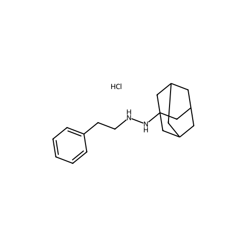 Cl.c1ccc(CCNNC23CC4CC(CC(C4)C2)C3)cc1